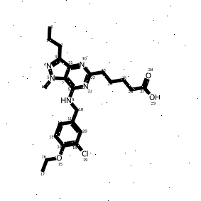 CCCc1nn(C)c2c(NCc3ccc(OCC)c(Cl)c3)nc(CCCCC(=O)O)nc12